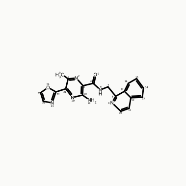 Cc1nc(C(=O)NCc2nccc3ccccc23)c(N)nc1-c1ncco1